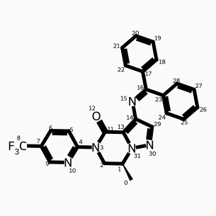 C[C@H]1CN(c2ccc(C(F)(F)F)cn2)C(=O)c2c(N=C(c3ccccc3)c3ccccc3)cnn21